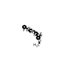 CCCOc1ccc(-c2ccc(Cn3cc4nc(-c5ccccc5F)nc-4cn3)cn2)c(C(F)(F)F)c1